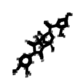 Cn1nc(C(C)(C)C)cc1C(=O)N1C[C@@H]2C[C@H]1[C@H]1C(=O)N(c3ccc(C#N)c(C(F)(F)F)c3)C(=O)N21